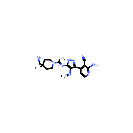 C=Nc1c(-c2ccnc(N)c2C#N)n[nH]c1/N=C(\C)N1CCC(C)(CN)CC1